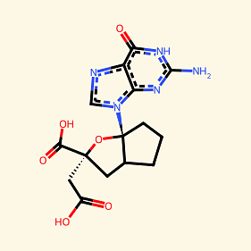 Nc1nc2c(ncn2[C@@]23CCCC2C[C@@](CC(=O)O)(C(=O)O)O3)c(=O)[nH]1